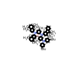 Cc1cc2c3c(c1)N(c1ccc4c(c1)C(C)(C)CCC4(C)C)c1cc4c(cc1B3c1ccc(N(c3ccc(C(C)(C)C)cc3)c3ccc(C(C)(C)C)cc3)cc1N2c1cc2c(c(C(C)(C)C)c1)C(C)(C)c1ccccc1-2)C(C)(C)CCC4(C)C